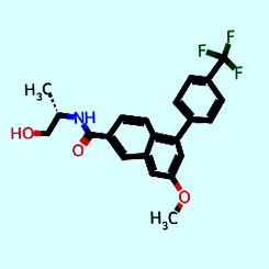 COc1cc(-c2ccc(C(F)(F)F)cc2)c2ccc(C(=O)N[C@@H](C)CO)cc2c1